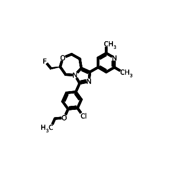 CCOc1ccc(-c2nc(-c3cc(C)nc(C)c3)c3n2C[C@@H](CF)OCC3)cc1Cl